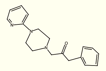 O=C(Cc1ccccc1)CN1CCN(c2ccccn2)CC1